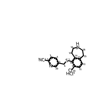 Cl.N#Cc1ccc(CSc2c(Cl)ccc3c2CCNCC3)cn1